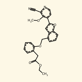 CCOC(=O)Cc1ccccc1OCc1cccc2oc(-c3ccnc(C#N)c3OC)cc12